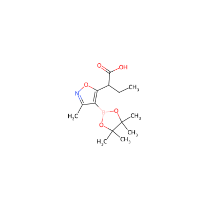 CCC(C(=O)O)c1onc(C)c1B1OC(C)(C)C(C)(C)O1